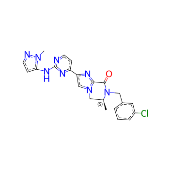 C[C@H]1Cn2cc(-c3ccnc(Nc4ccnn4C)n3)nc2C(=O)N1Cc1cccc(Cl)c1